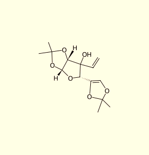 C=CC1(O)[C@H](C2=COC(C)(C)O2)O[C@@H]2OC(C)(C)O[C@@H]21